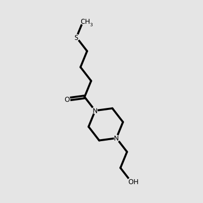 CSCCCC(=O)N1CCN(CCO)CC1